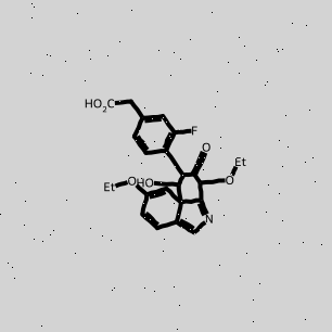 CCOC1=CC23C(=CN=C2C(OCC)C(=O)C(c2ccc(CC(=O)O)cc2F)C3O)C=C1